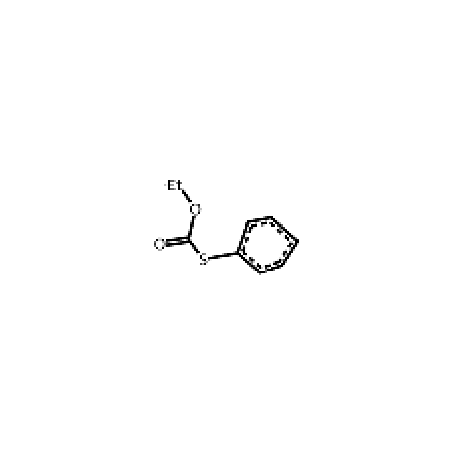 C[CH]OC(=O)Sc1ccccc1